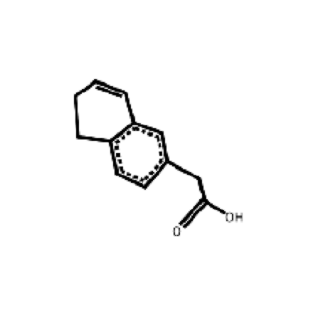 O=C(O)Cc1ccc2c(c1)C=CCC2